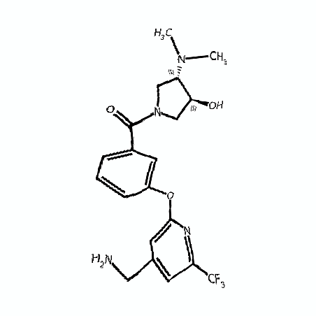 CN(C)[C@H]1CN(C(=O)c2cccc(Oc3cc(CN)cc(C(F)(F)F)n3)c2)C[C@@H]1O